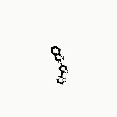 c1ccc2nn(-c3coc(C4OCCO4)c3)cc2c1